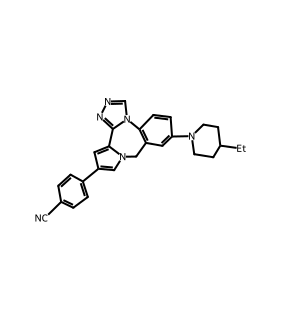 CCC1CCN(c2ccc3c(c2)Cn2cc(-c4ccc(C#N)cc4)cc2-c2nncn2-3)CC1